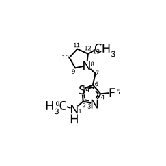 CNc1nc(F)c(CN2CCCC2C)s1